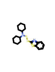 c1ccc2sc(SSN(C3CCCCC3)C3CCCCC3)nc2c1